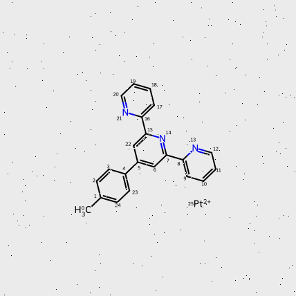 Cc1ccc(-c2cc(-c3ccccn3)nc(-c3ccccn3)c2)cc1.[Pt+2]